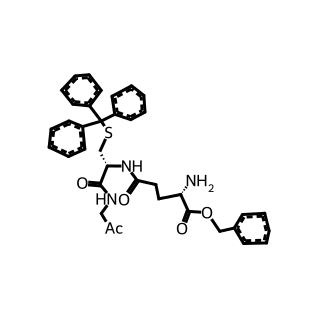 CC(=O)CNC(=O)[C@H](CSC(c1ccccc1)(c1ccccc1)c1ccccc1)NC(=O)CC[C@H](N)C(=O)OCc1ccccc1